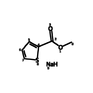 COC(=O)c1cccs1.[NaH]